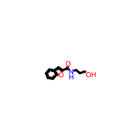 O=C(NCCCO)c1cc2ccccc2o1